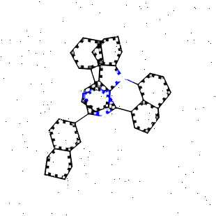 c1ccc(-c2nc(-c3ccc4ccccc4c3)nc(-c3cccc4cccc(-n5c6ccccc6c6ccccc65)c34)n2)cc1